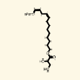 CCCCC/C=C\C/C=C\CCCCCCCCOC(=O)C(O)CO